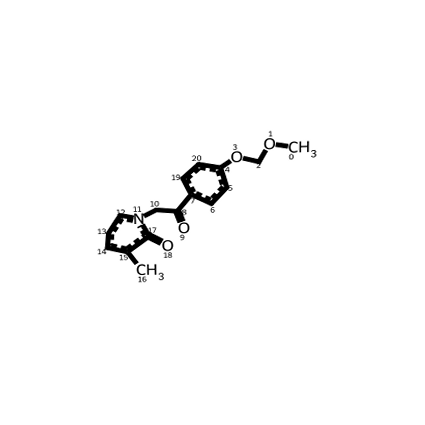 COCOc1ccc(C(=O)Cn2cccc(C)c2=O)cc1